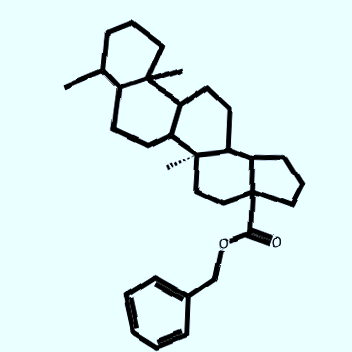 CC1CCCC2(C)C1CCC1C2CCC2C3CCCC3(C(=O)OCc3ccccc3)CC[C@]21C